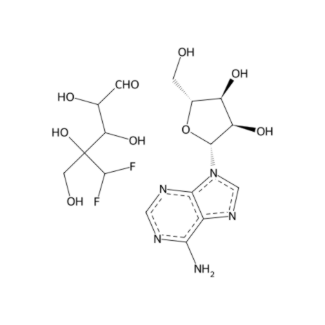 Nc1ncnc2c1ncn2[C@@H]1O[C@H](CO)[C@@H](O)[C@H]1O.O=CC(O)C(O)C(O)(CO)C(F)F